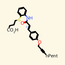 CCCCCC#CCOc1ccc(/C=C/C(=O)Nc2ccccc2SCCCC(=O)O)cc1